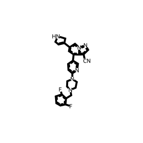 N#Cc1cnn2cc(C3=CCNC3)cc(-c3ccc(N4CCN(Cc5c(F)cccc5F)CC4)nc3)c12